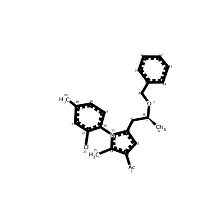 CC(=O)c1cc(C[C@H](C)OCc2ccccc2)n(-c2ccc(C)cc2Cl)c1C